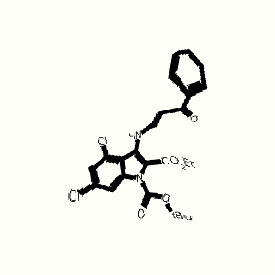 CCOC(=O)c1c(NCCC(=O)c2ccccc2)c2c(Cl)cc(Cl)cc2n1C(=O)OC(C)(C)C